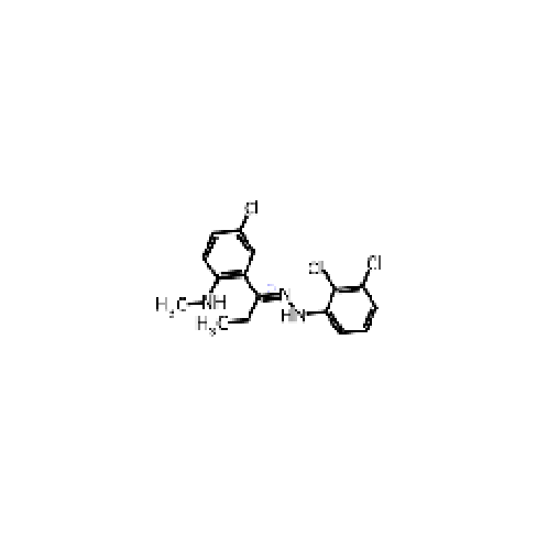 CC/C(=N\Nc1cccc(Cl)c1Cl)c1cc(Cl)ccc1NC